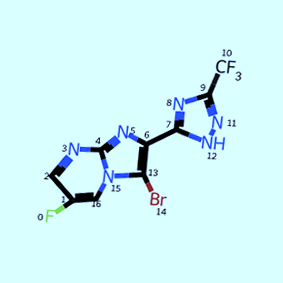 Fc1cnc2nc(-c3nc(C(F)(F)F)n[nH]3)c(Br)n2c1